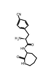 N#Cc1ccc(C[C@H](N)C(=O)NC2CCCCNC2=O)cc1